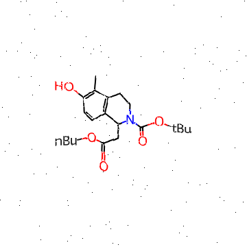 CCCCOC(=O)CC1c2ccc(O)c(C)c2CCN1C(=O)OC(C)(C)C